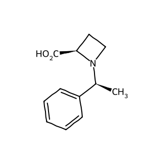 C[C@@H](c1ccccc1)N1CC[C@@H]1C(=O)O